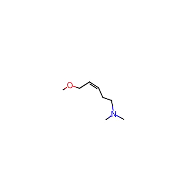 COC/C=C\CCN(C)C